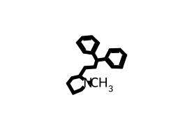 CN1CCCCC1CCC(c1ccccc1)c1ccccc1